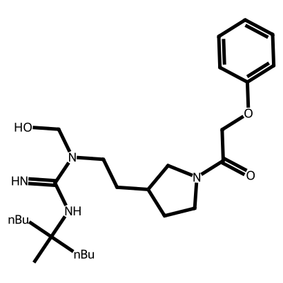 CCCCC(C)(CCCC)NC(=N)N(CO)CCC1CCN(C(=O)COc2ccccc2)C1